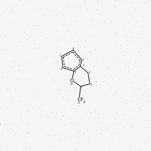 FC(F)(F)C1CCc2ccccc2O1